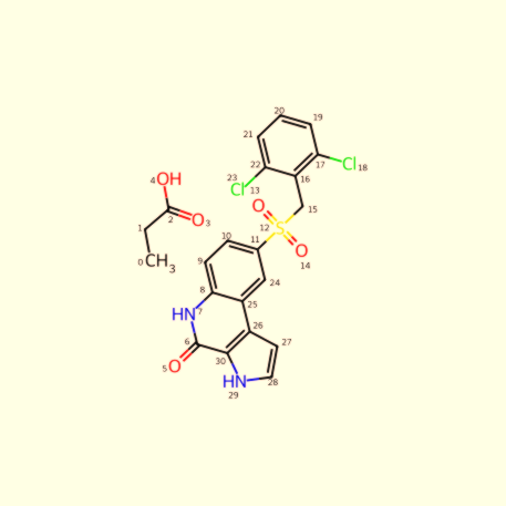 CCC(=O)O.O=c1[nH]c2ccc(S(=O)(=O)Cc3c(Cl)cccc3Cl)cc2c2cc[nH]c12